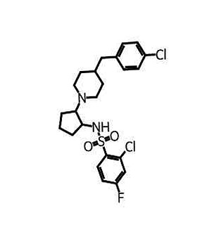 O=S(=O)(NC1CCCC1N1CCC(Cc2ccc(Cl)cc2)CC1)c1ccc(F)cc1Cl